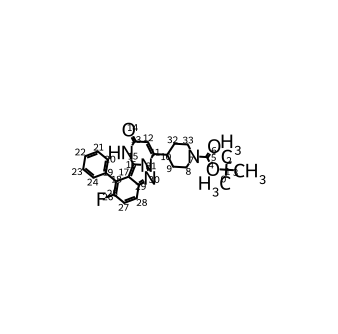 CC(C)(C)OC(=O)N1CCC(c2cc(=O)[nH]c3c4c(-c5ccccc5)c(F)ccc4nn23)CC1